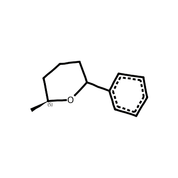 C[C@H]1CCCC(c2ccccc2)O1